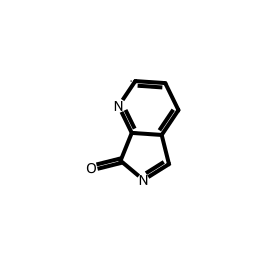 O=C1N=Cc2cc[c]nc21